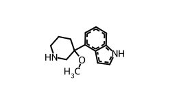 COC1(c2cccc3[nH]ccc23)CCCNC1